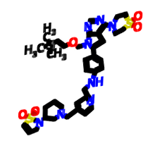 C[Si](C)(C)CCOCn1c(-c2ccc(NCc3cc(CN4CCC[C@@H](N5CC=CS5(=O)=O)C4)ccn3)cc2)cc2c(N3CCS(=O)(=O)CC3)ncnc21